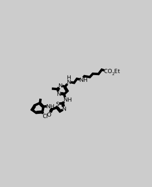 CCOC(=O)CCCCCNCCNc1cc(Nc2ncc(C(=O)Nc3c(C)cccc3Cl)s2)nc(C)n1